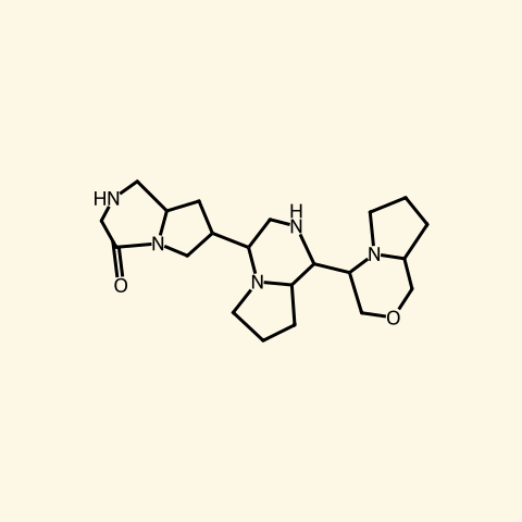 O=C1CNCC2CC(C3CNC(C4COCC5CCCN54)C4CCCN34)CN12